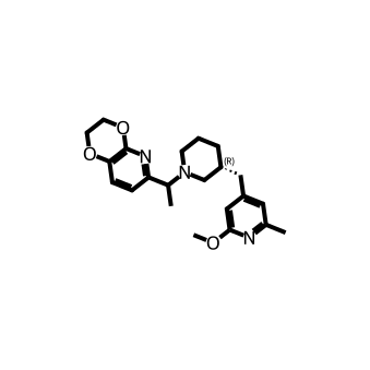 COc1cc(C[C@H]2CCCN(C(C)c3ccc4c(n3)OCCO4)C2)cc(C)n1